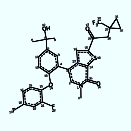 Cn1cc(-c2cc(C(C)(C)O)ccc2Oc2ccc(F)cc2F)c2cc(C(=O)CC3(C(F)(F)F)CC3)sc2c1=O